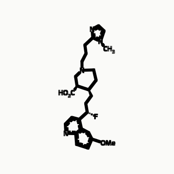 COc1ccc2nccc([C@@H](F)CC[C@@H]3CCN(CCCc4nccn4C)C[C@@H]3C(=O)O)c2c1